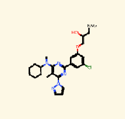 CNCC(O)COc1cc(Cl)cc(-c2nc(N(C)C3CCCCC3)c(C)c(-n3cccn3)n2)c1